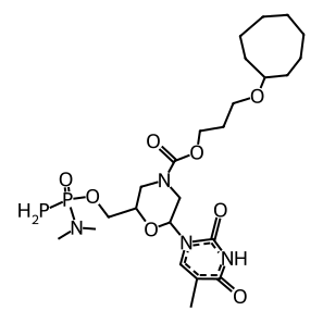 Cc1cn(C2CN(C(=O)OCCCOC3CCCCCCC3)CC(COP(=O)(P)N(C)C)O2)c(=O)[nH]c1=O